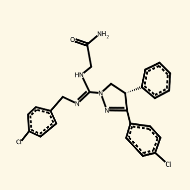 NC(=O)CN/C(=N\Cc1ccc(Cl)cc1)N1C[C@H](c2ccccc2)C(c2ccc(Cl)cc2)=N1